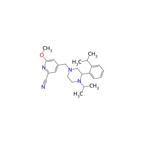 COc1cc(CN2CCN(C(C)C)C(c3ccccc3C(C)C)C2)cc(C#N)n1